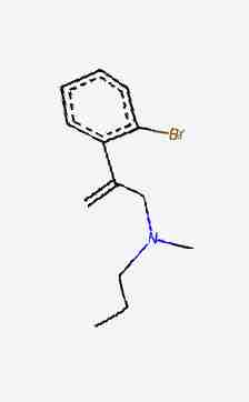 C=C(CN(C)CCC)c1ccccc1Br